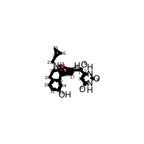 O=C(c1cc(=O)[nH]c(=O)[nH]1)N1CC23CC45C[C@@H]2C1C3C41CCN(CC2CC2)C5Cc2ccc(O)cc21